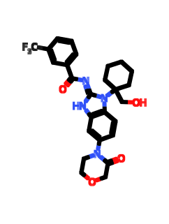 O=C(/N=c1\[nH]c2cc(N3CCOCC3=O)ccc2n1C1(CO)CCCCC1)c1cccc(C(F)(F)F)c1